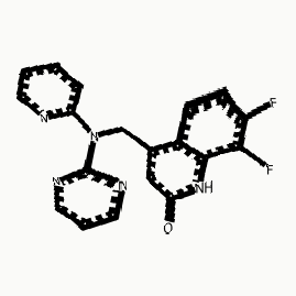 O=c1cc(CN(c2ccccn2)c2ncccn2)c2ccc(F)c(F)c2[nH]1